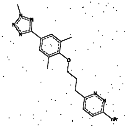 CCCc1ccc(CCCOc2c(C)cc(-c3nnn(C)n3)cc2C)nn1